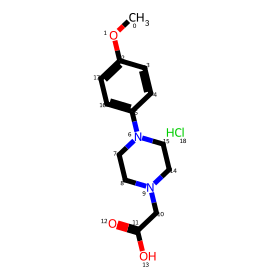 COc1ccc(N2CCN(CC(=O)O)CC2)cc1.Cl